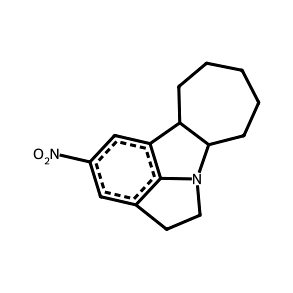 O=[N+]([O-])c1cc2c3c(c1)C1CCCCCC1N3CC2